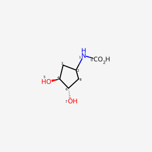 O=C(O)NC1C[C@H](O)[C@@H](O)C1